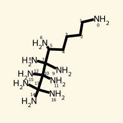 NCCCCC(N)C(N)(N)C(N)(N)C(N)(N)N